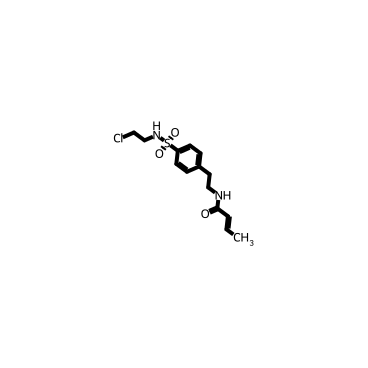 C/C=C/C(=O)NCCc1ccc(S(=O)(=O)NCCCl)cc1